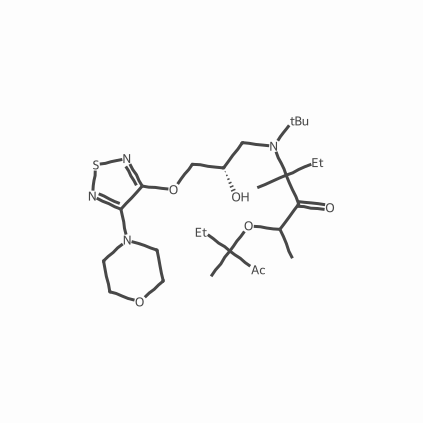 CCC(C)(OC(C)C(=O)C(C)(CC)N(C[C@H](O)COc1nsnc1N1CCOCC1)C(C)(C)C)C(C)=O